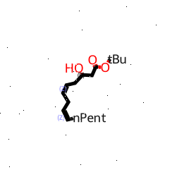 CCCCC/C=C\C/C=C\C[C@@H](O)CC(=O)OC(C)(C)C